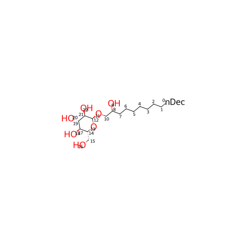 CCCCCCCCCCCCCCCCCC(O)CO[C@H]1O[C@H](CO)[C@@H](O)[C@H](O)[C@H]1O